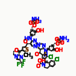 Cc1sc(C(=O)c2cncnc2N[C@@H]2C[C@H](COS(N)(=O)=O)[C@@H](O)C2)cc1[C@@H]1OCCn2cc(C(F)(F)F)nc21.NS(=O)(=O)OC[C@H]1C[C@@H](Nc2ncncc2C(=O)c2cc([C@@H]3c4cc(Cl)ccc4CCN3C(=O)O)c(Cl)s2)C[C@@H]1O